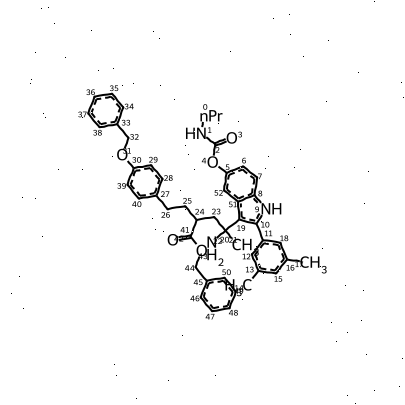 CCCNC(=O)Oc1ccc2[nH]c(-c3cc(C)cc(C)c3)c(C(C)(N)CC(CCc3ccc(OCc4ccccc4)cc3)C(=O)OCc3ccccc3)c2c1